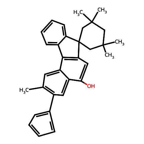 Cc1cc2c3c(cc(O)c2cc1-c1ccccc1)C1(CC(C)(C)CC(C)(C)C1)c1ccccc1-3